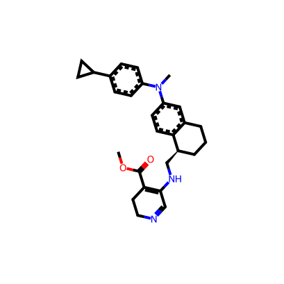 COC(=O)C1=C(NC[C@@H]2CCCc3cc(N(C)c4ccc(C5CC5)cc4)ccc32)C=NCC1